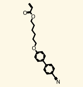 C=CC(=O)OCCCCCCOc1ccc(-c2ccc(C#N)cc2)cc1